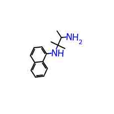 CC(N)C(C)(C)Nc1cccc2ccccc12